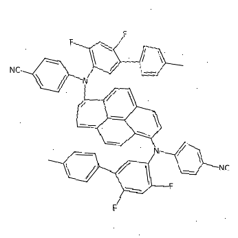 [C-]#[N+]c1ccc(N(c2cc(-c3ccc(C)cc3)c(F)cc2F)c2ccc3ccc4c(N(c5ccc(C#N)cc5)c5cc(-c6ccc(C)cc6)c(F)cc5F)ccc5ccc2c3c54)cc1